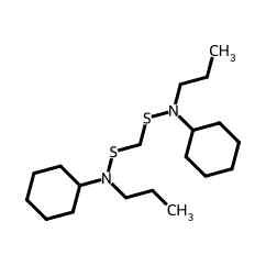 CCCN(SCSN(CCC)C1CCCCC1)C1CCCCC1